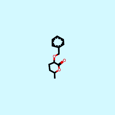 CC1CCC(OCc2ccccc2)C(=O)O1